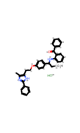 Cc1nc(-c2ccccc2)[nH]c1CCOc1ccc(C(CC(=O)O)Nc2ccccc2C(=O)c2ccccc2)cc1.Cl